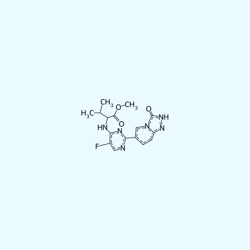 COC(=O)C(Nc1nc(-c2ccc3n[nH]c(=O)n3c2)ncc1F)C(C)C